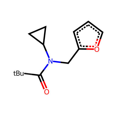 CC(C)(C)C(=O)N(Cc1ccco1)C1CC1